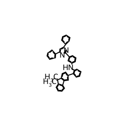 CC1(C)c2ccccc2-c2cc(-c3ccccc3Nc3cccc(-c4nc(-c5ccccc5)cc(-c5ccccc5)n4)c3)ccc21